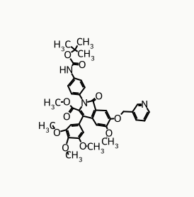 COC(=O)c1c(-c2cc(OC)c(OC)c(OC)c2)c2cc(OC)c(OCc3cccnc3)cc2c(=O)n1-c1ccc(NC(=O)OC(C)(C)C)cc1